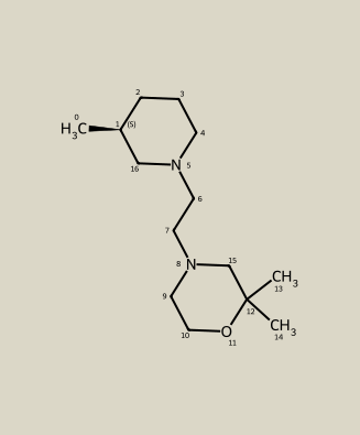 C[C@H]1CCCN(CCN2CCOC(C)(C)C2)C1